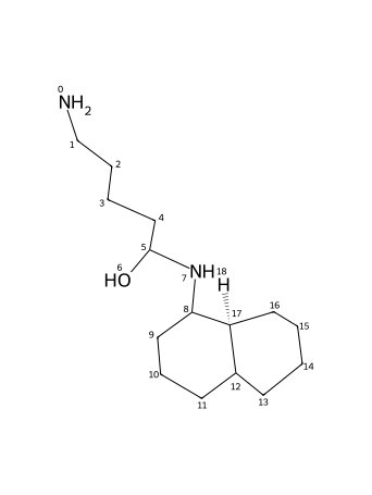 NCCCCC(O)NC1CCCC2CCCC[C@@H]21